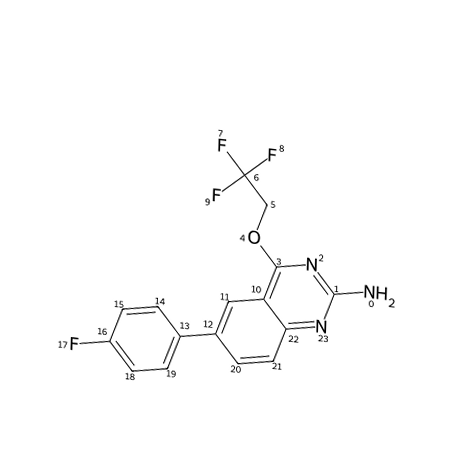 Nc1nc(OCC(F)(F)F)c2cc(-c3ccc(F)cc3)ccc2n1